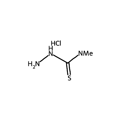 CNC(=S)NN.Cl